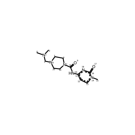 CN(C)CN1CCN(C(=O)Nc2ccn(C)c(=O)n2)CC1